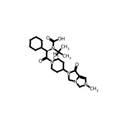 CN1C=C2C(=O)N(C3CCN(C(=O)[C@@H](C4CCCCC4)N(C(=O)O)C(C)(C)C)CC3)CN2C1